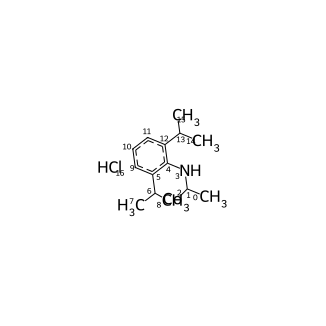 C[CH]([Co])Nc1c(C(C)C)cccc1C(C)C.Cl